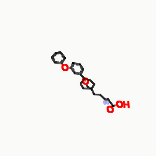 O=C(O)/C=C/CCC12CCC(c3cccc(Oc4ccccc4)c3)(CC1)OC2